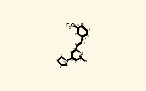 Cc1cc(N2CCCC2)cc(C=Cc2cccc(C(F)(F)F)c2)n1